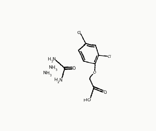 N.N.NC(N)=O.O=C(O)COc1ccc(Cl)cc1Cl